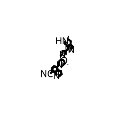 C[C@@H]1CN(c2ccc(C#N)c3ncccc23)C[C@H](CN2CC(n3ncc4c3CN[C@@H](C)C4)C2)O1